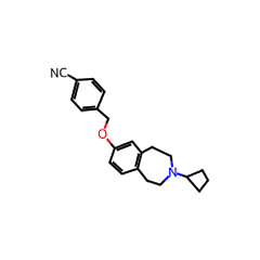 N#Cc1ccc(COc2ccc3c(c2)CCN(C2CCC2)CC3)cc1